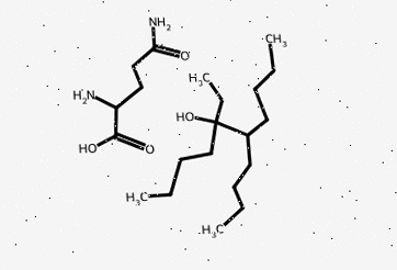 CCCCC(CCCC)C(O)(CC)CCCC.NC(=O)CCC(N)C(=O)O